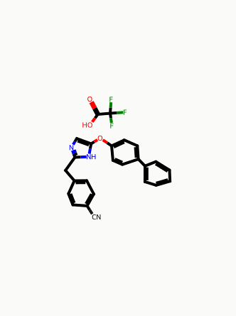 N#Cc1ccc(Cc2ncc(Oc3ccc(-c4ccccc4)cc3)[nH]2)cc1.O=C(O)C(F)(F)F